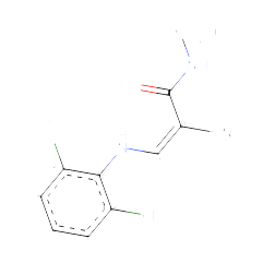 CCOC(=O)NC(=O)C(C#N)=CNc1c(Cl)cccc1Cl